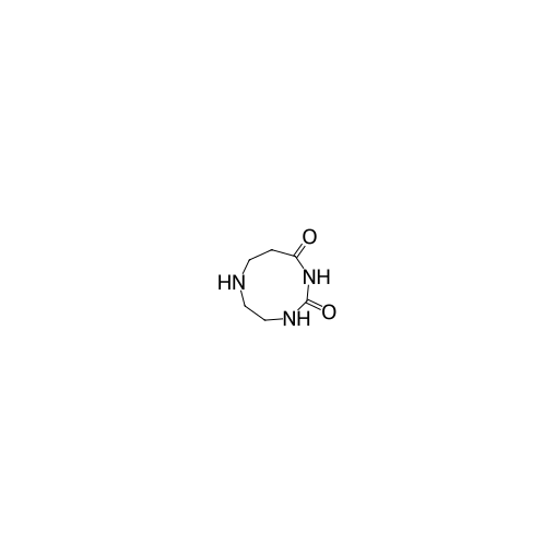 O=C1CCNCCNC(=O)N1